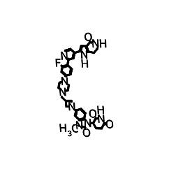 Cn1c(=O)n(C2CCC(=O)NC2=O)c2ccc(N3CC(CN4CCN(c5ccc(-c6cc(-c7cc8c([nH]7)CCNC8=O)ccn6)c(F)c5)CC4)C3)cc21